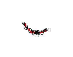 CC(C)(c1ccc(OC(=O)CCCCC(=O)OCC2CCC3BC3C2)cc1)c1ccc(OC(=O)CCCCC(=O)OCC2CCC3OC3C2)cc1